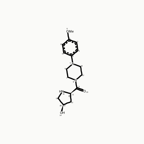 COc1ccc(N2CCN(C(=O)[C@H]3C[C@@H](O)CN3)CC2)cc1